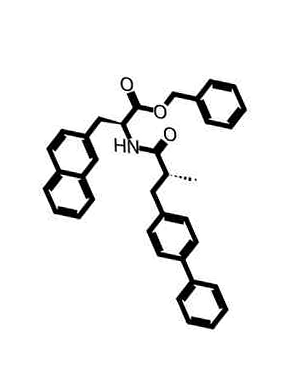 [CH2][C@H](Cc1ccc(-c2ccccc2)cc1)C(=O)N[C@@H](Cc1ccc2ccccc2c1)C(=O)OCc1ccccc1